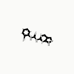 O=C(Nc1ncc2cn[nH]c2n1)Nc1ccccc1Cl